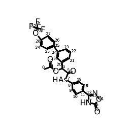 CC(=O)OC(C(=O)[AsH]c1ccc(-c2noc(=O)[nH]2)cc1)c1cccc(-c2ccc(OC(F)(F)F)cc2)c1